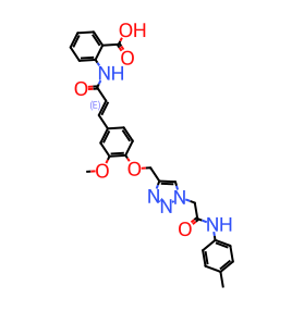 COc1cc(/C=C/C(=O)Nc2ccccc2C(=O)O)ccc1OCc1cn(CC(=O)Nc2ccc(C)cc2)nn1